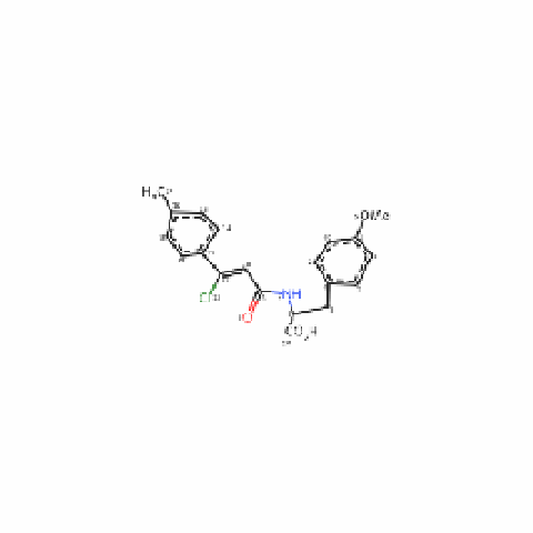 COc1ccc(C[C@H](NC(=O)C=C(Cl)c2ccc(C)cc2)C(=O)O)cc1